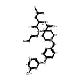 CCCCN1C(=O)C(CC(C)C)NC(=O)C12CCN(Cc1ccc(Oc3cncc(Cl)c3)cc1)CC2